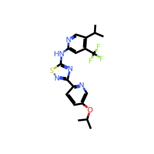 CC(C)Oc1ccc(-c2nsc(Nc3cc(C(F)(F)F)c(C(C)C)cn3)n2)nc1